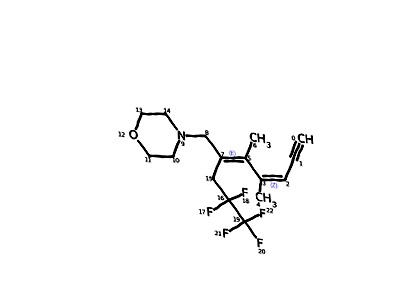 C#C/C=C(C)\C(C)=C(\CN1CCOCC1)CC(F)(F)C(F)(F)F